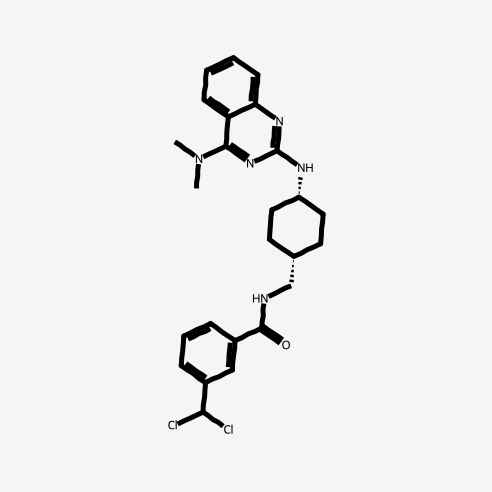 CN(C)c1nc(N[C@H]2CC[C@@H](CNC(=O)c3cccc(C(Cl)Cl)c3)CC2)nc2ccccc12